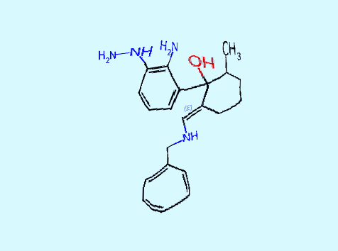 CC1CCC/C(=C\NCc2ccccc2)C1(O)c1cccc(NN)c1N